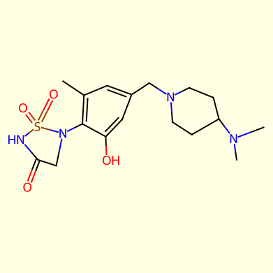 Cc1cc(CN2CCC(N(C)C)CC2)cc(O)c1N1CC(=O)NS1(=O)=O